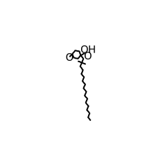 CCCCCCCCCCCCCCCCC(C)(C)CC1(C(=O)O)CCC2OC2C1